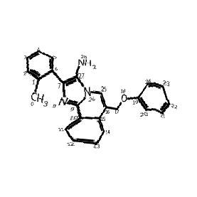 Cc1ccccc1-c1nc2c3ccccc3c(COc3ccccc3)cn2c1N